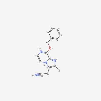 Cc1nc2c(OCc3ccccc3)nccn2c1CC#N